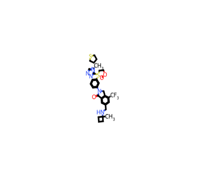 C1CCSC1.Cn1cnnc1S1(c2cccc(N3Cc4c(cc(CNC5(C)CCC5)cc4C(F)(F)F)C3=O)c2)CCOO1